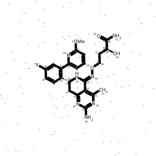 COc1cccc(-c2cc(F)ccc2[C@H]2Cc3nc(N)nc(C)c3/C(=N/OCC[C@H](O)C(N)=O)N2)n1